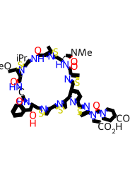 CNC(=O)C[C@@H]1NC(=O)c2csc(n2)-c2ccc(-c3nc(N(CCC(=O)O)C(=O)N4CCC(C(=O)O)CC4)cs3)nc2-c2csc(n2)-c2csc(n2)[C@H]([C@@H](O)c2ccccc2)NC(=O)CNC(=O)c2nc(sc2COC)C(C(C)C)NC(=O)c2nc1sc2C